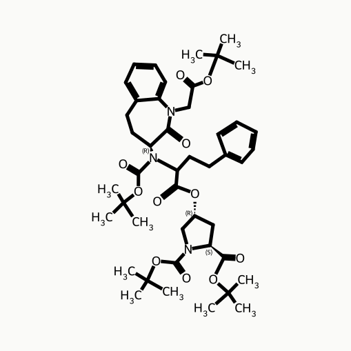 CC(C)(C)OC(=O)CN1C(=O)[C@H](N(C(=O)OC(C)(C)C)C(CCc2ccccc2)C(=O)O[C@@H]2C[C@@H](C(=O)OC(C)(C)C)N(C(=O)OC(C)(C)C)C2)CCc2ccccc21